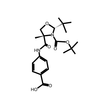 CC(C)(C)OC(=O)N1[C@@H](C(C)(C)C)OC[C@@]1(C)C(=O)Nc1ccc(C(=O)O)cc1